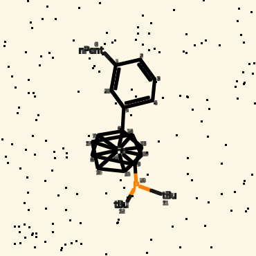 CCCCCc1cccc([C]23[CH]4[CH]5[C]6(P(C(C)(C)C)C(C)(C)C)[CH]2[Fe]45362789[CH]3[CH]2[CH]7[CH]8[CH]39)c1